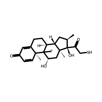 C[C@@H]1C[C@H]2[C@@H]3CCC4=CC(=O)C=C[C@]4(C)C3(F)[C@@H](O)C[C@]2(C)[C@@]1(O)C(=O)CS